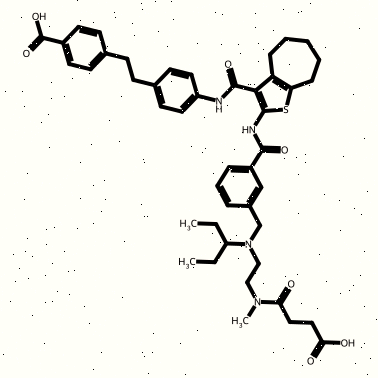 CCC(CC)N(CCN(C)C(=O)CCC(=O)O)Cc1cccc(C(=O)Nc2sc3c(c2C(=O)Nc2ccc(CCc4ccc(C(=O)O)cc4)cc2)CCCCC3)c1